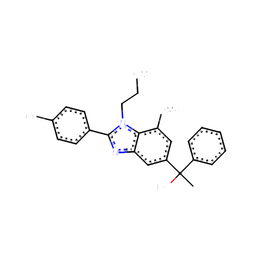 COCCn1c(-c2ccc(C(C)C)cc2)nc2cc(C(C)(O)c3ccccc3)cc(OC)c21